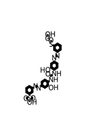 O=C(Nc1ccc(N=Nc2cccc(SOOO)c2)cc1O)Nc1ccc(N=Nc2cccc(S(=O)(=O)O)c2)cc1O